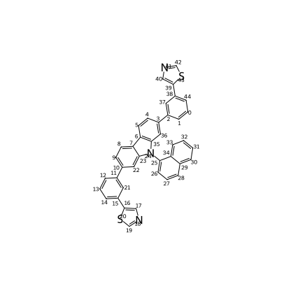 c1cc(-c2ccc3c4ccc(-c5cccc(-c6cncs6)c5)cc4n(-c4cccc5ccccc45)c3c2)cc(-c2cncs2)c1